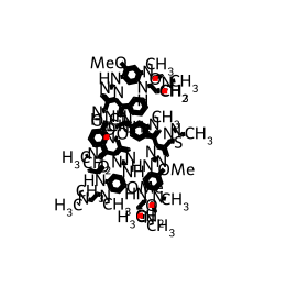 C=CC(=O)Nc1cc(Nc2ncc(C3=NOC(C)(c4ccc5c(c4)c(-c4nc(Nc6cc(NC(=O)C=C)c(N(C)CCN(C)C)cc6OC)ncc4C4=NOC(C)(Cc6ccc7c(-c8nc(Nc9cc(NC(=O)C=C)c(N(C)CCN(C)C)cc9OC)ncc8-c8nnc(C)s8)cn(C)c7c6)O4)cn5C)N3)c(-c3cn(C)c4ccccc34)n2)c(OC)cc1N(C)CCN(C)C